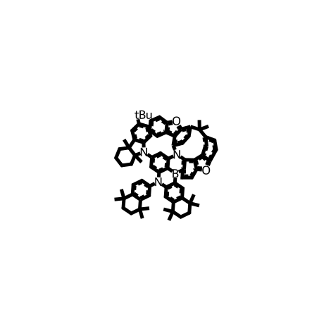 CC(C)(C)c1ccc2c(c1)C1(C)CCCCC1(C)N2c1cc2c3c(c1)N1c4c(ccc5oc6ccc(cc6c45)C(C)(C)c4ccc1c1c4oc4ccccc41)B3c1cc3c(cc1N2c1ccc2c(c1)C(C)(C)CCC2(C)C)C(C)(C)CCC3(C)C